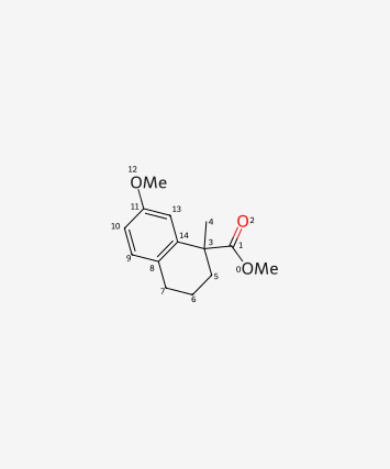 COC(=O)C1(C)CCCc2ccc(OC)cc21